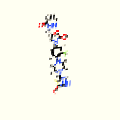 CC(=O)NC[C@H]1CN(c2ccc(N3CCN(c4n[nH]c(=O)s4)CC3)c(F)c2)C(=O)O1